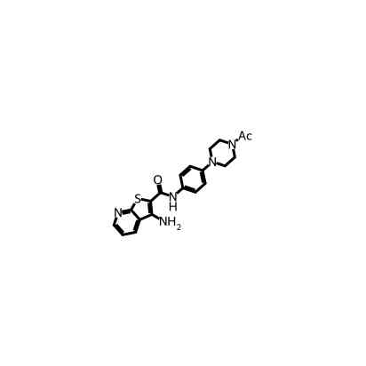 CC(=O)N1CCN(c2ccc(NC(=O)c3sc4ncccc4c3N)cc2)CC1